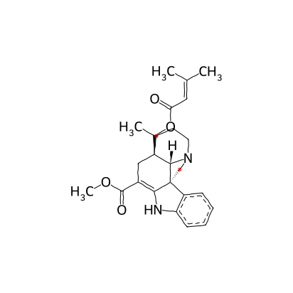 COC(=O)C1=C2Nc3ccccc3[C@@]23CCN2CCC[C@@](C(C)OC(=O)C=C(C)C)(C1)[C@H]23